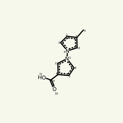 Cc1ccn(-n2ccc(C(=O)O)c2)c1